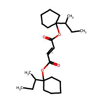 CCC(C)C1(OC(=O)/C=C/C(=O)OC2(C(C)CC)CCCCC2)CCCCC1